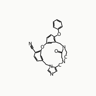 N#Cc1ccc2cc1Oc1ccc(Oc3ccccc3)c(c1)CN1CCN(CC1=O)Cc1cncn1C2